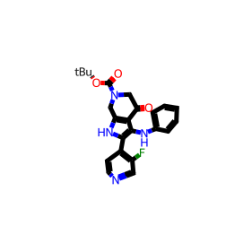 CC(C)(C)OC(=O)N1CC(=O)c2c([nH]c(-c3ccncc3F)c2Nc2ccccc2)C1